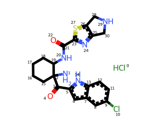 Cl.NC1(C(=O)c2cc3cc(Cl)ccc3[nH]2)CCCCC1NC(=O)c1nc2c(s1)CNC2